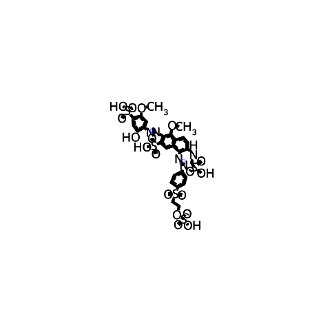 COc1cc(/N=N/c2c(S(=O)(=O)O)cc3c(/N=N/c4ccc(S(=O)(=O)CCOS(=O)(=O)O)cc4)c(NCS(=O)(=O)O)ccc3c2OC)c(O)cc1S(=O)(=O)O